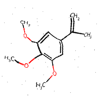 C=C(C)c1cc(OC)c(OC)c(OC)c1